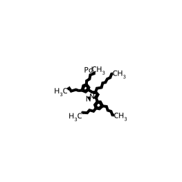 CCCCCCCCC1=C(c2cc(CCCCC)cc(CCCCC)c2)[N+](=[N-])C(c2cc(CCCCC)cc(CCCCC)c2)=C1.[Pd]